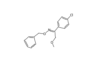 COCC(=NOCc1ccccc1)c1ccc(Cl)cc1